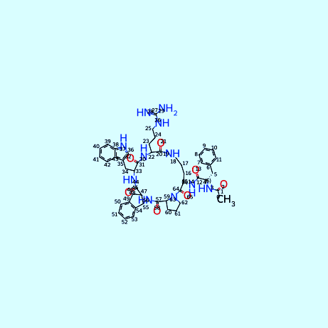 CC(=O)N[C@@H](Cc1ccccc1)C(=O)N[C@H]1CCCNC(=O)C(CCCNC(=N)N)NC(=O)C(Cc2c[nH]c3ccccc23)NC(=O)C2(Cc3ccccc3C2)NC(=O)C2CCCN2C1=O